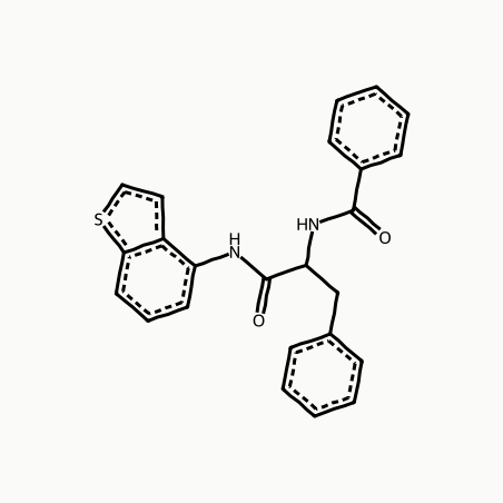 O=C(NC(Cc1ccccc1)C(=O)Nc1cccc2sccc12)c1ccccc1